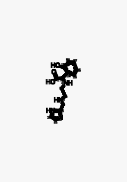 O=C(O)C(NCCNCc1ncc[nH]1)c1ccccc1O